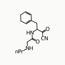 CCCNCC(=O)NC(CC1=CCCC=C1)C(=O)C#N